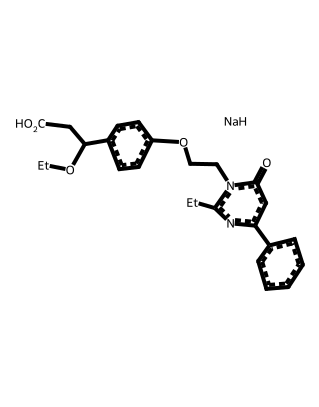 CCOC(CC(=O)O)c1ccc(OCCn2c(CC)nc(-c3ccccc3)cc2=O)cc1.[NaH]